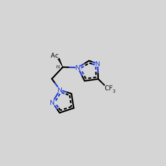 CC(=O)[C@H](Cn1cccn1)n1cnc(C(F)(F)F)c1